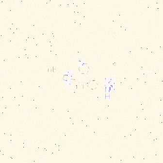 CCCCc1cn(C2CCCCCCC2C(C)C)c(=O)n1Cc1cc(-c2cccc(-c3nnn[nH]3)c2)ccn1